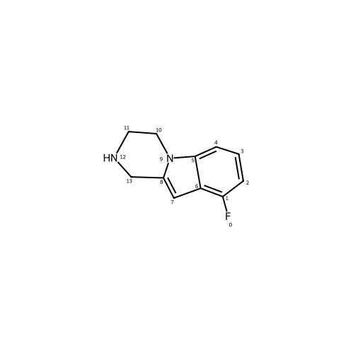 Fc1cccc2c1cc1n2CCNC1